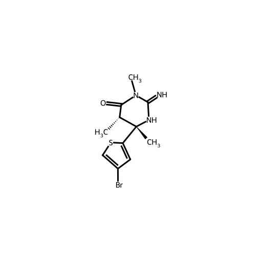 C[C@@H]1C(=O)N(C)C(=N)N[C@]1(C)c1cc(Br)cs1